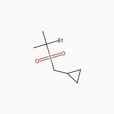 CCC(C)(C)S(=O)(=O)CC1CC1